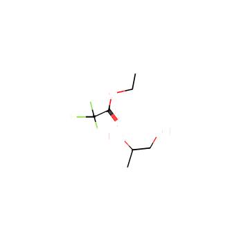 CC(O)CO.CCOC(=O)C(F)(F)F